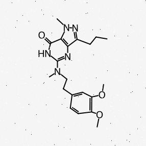 CCCc1nn(C)c2c(=O)[nH]c(N(C)CCc3ccc(OC)c(OC)c3)nc12